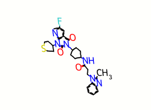 Cc1nc2ccccc2n1CCC(=O)NC1CCC(n2c(=O)c3cc(F)cnc3n(C3CCSCC3)c2=O)CC1